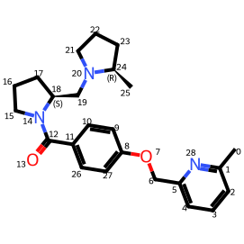 Cc1cccc(COc2ccc(C(=O)N3CCC[C@H]3CN3CCC[C@H]3C)cc2)n1